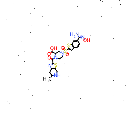 CC1Cc2nc(C(=O)N3CCN(S(=O)(=O)c4cc5ccc(/C(N)=N\O)cc5s4)CC3C(=O)O)sc2CN1